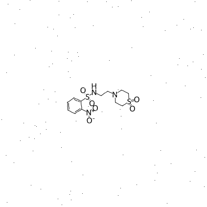 O=[N+]([O-])c1ccccc1S(=O)(=O)NCCN1CCS(=O)(=O)CC1